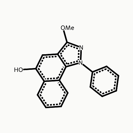 COc1nn(-c2ccccc2)c2c1cc(O)c1ccccc12